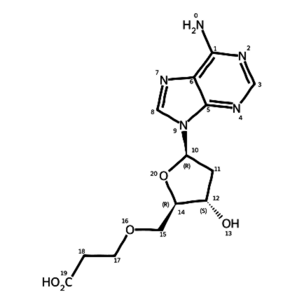 Nc1ncnc2c1ncn2[C@H]1C[C@H](O)[C@@H](COCCC(=O)O)O1